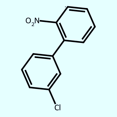 O=[N+]([O-])c1[c]cccc1-c1cccc(Cl)c1